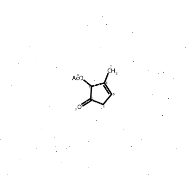 CC(=O)OC1C(=O)CC=C1C